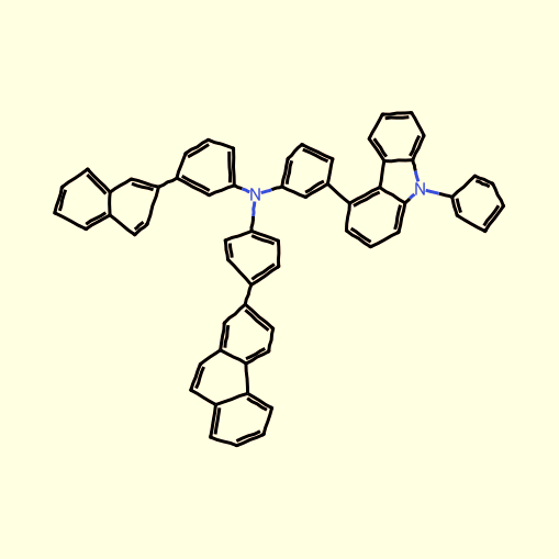 c1ccc(-n2c3ccccc3c3c(-c4cccc(N(c5ccc(-c6ccc7c(ccc8ccccc87)c6)cc5)c5cccc(-c6ccc7ccccc7c6)c5)c4)cccc32)cc1